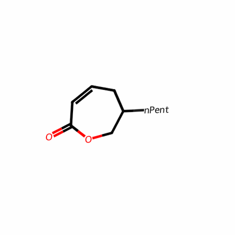 CCCCCC1CC=CC(=O)OC1